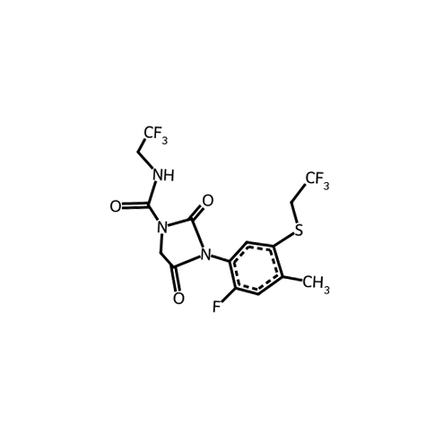 Cc1cc(F)c(N2C(=O)CN(C(=O)NCC(F)(F)F)C2=O)cc1SCC(F)(F)F